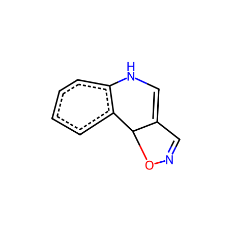 C1=NOC2C1=CNc1ccccc12